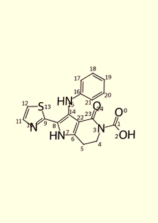 O=C(O)N1CCc2[nH]c(-c3nccs3)c(Nc3ccccc3)c2C1=O